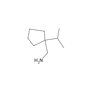 CC(C)C1(CN)CCCC1